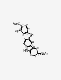 CNC1CCc2[nH]c3ccc(N(C)c4ccc(OC)c(F)c4)cc3c2C1